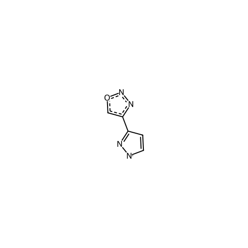 C1=CC(c2conn2)=N[N]1